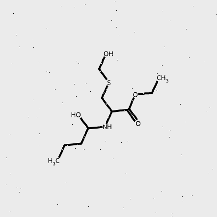 CCCC(O)NC(CSCO)C(=O)OCC